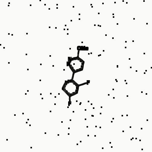 COc1ccc(-c2ccc(F)cc2F)nn1